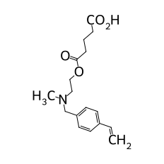 C=Cc1ccc(CN(C)CCOC(=O)CCCC(=O)O)cc1